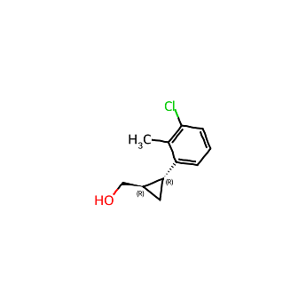 Cc1c(Cl)cccc1[C@@H]1C[C@H]1CO